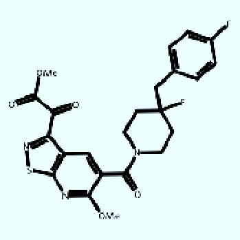 COC(=O)C(=O)c1nsc2nc(OC)c(C(=O)N3CCC(F)(Cc4ccc(F)cc4)CC3)cc12